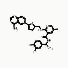 C[C@H](NC(=O)c1cc(I)cnc1NCC1CC=C(c2ccc3ncnc(N)c3c2)S1)c1ccc(F)c(F)c1